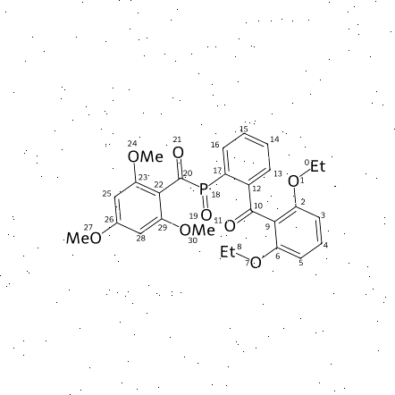 CCOc1cccc(OCC)c1C(=O)c1ccccc1[P](=O)C(=O)c1c(OC)cc(OC)cc1OC